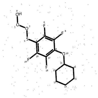 OOOSc1c(F)c(F)c(OC2CCCCC2)c(F)c1F